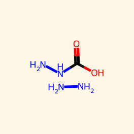 NN.NNC(=O)O